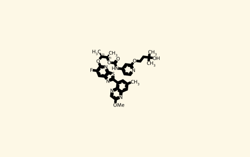 COc1cnc2c(-c3nc4cc(F)c(O[C@@H](C)[C@@H](C)OC(=O)Nc5ccnc(OCCC(C)(C)O)c5)nc4s3)cc(C)cc2n1